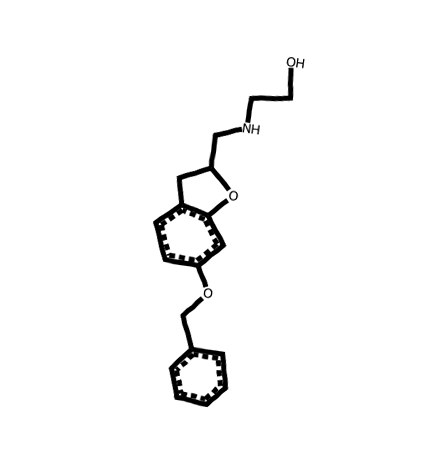 OCCNCC1Cc2ccc(OCc3ccccc3)cc2O1